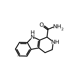 NC(=O)C1NCCc2c1[nH]c1cc[c]cc21